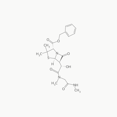 CNC(=O)CN(C)C(=O)[C@@H](O)[C@@H]1C(=O)N2[C@@H]1SC(C)(C)[C@@H]2C(=O)OCc1ccccc1